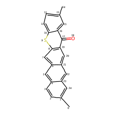 Cc1ccc2cc3cc4sc5ccc(C)cc5c(=O)c4cc3cc2c1